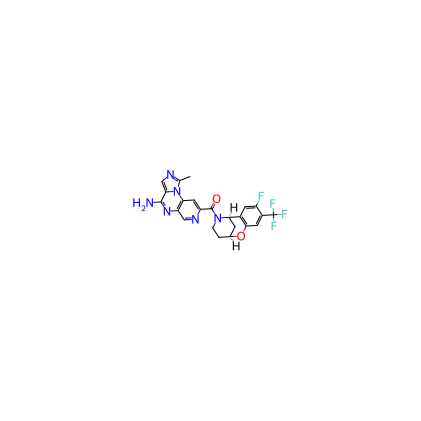 Cc1ncc2c(N)nc3cnc(C(=O)N4CC[C@H]5C[C@@H]4c4cc(F)c(C(F)(F)F)cc4O5)cc3n12